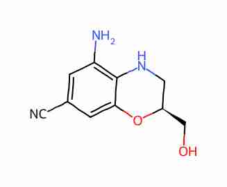 N#Cc1cc(N)c2c(c1)O[C@H](CO)CN2